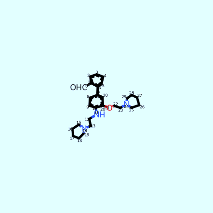 O=Cc1ccccc1-c1ccc(NCCN2CCCCC2)c(OCCN2CCCCC2)c1